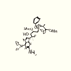 CCN(CC)c1nc(N)nc2c1ncn2[C@](C)(F)[C@H](O)[C@@H](CP(=O)(N[C@@H](C)C(=O)OC)Oc1ccccc1)OC